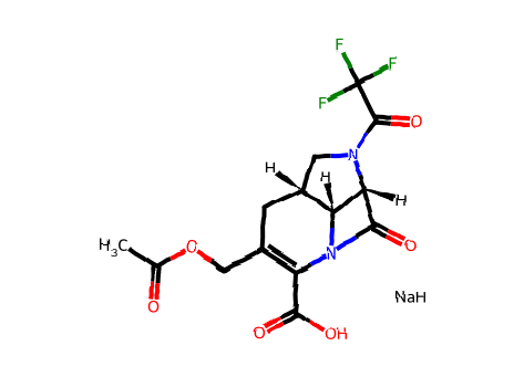 CC(=O)OCC1=C(C(=O)O)N2C(=O)[C@@H]3[C@H]2[C@H](C1)CN3C(=O)C(F)(F)F.[NaH]